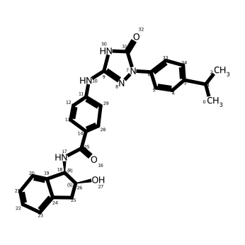 CC(C)c1ccc(-n2nc(Nc3ccc(C(=O)N[C@@H]4c5ccccc5C[C@@H]4O)cc3)[nH]c2=O)cc1